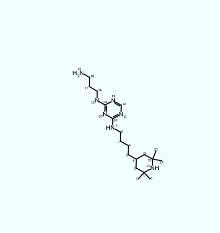 CC1(C)CC(CCCCNc2ncnc([N]CC[CH]N)n2)CC(C)(C)N1